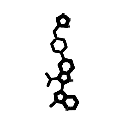 CC(C)c1c(-c2cn(C)c3ncccc23)[nH]c2ccc(C3CCN(Cc4cnn[nH]4)CC3)cc12